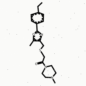 CCc1ccc(-c2nc(CSCC(=O)N3CCN(C)CC3)c(C)o2)cc1